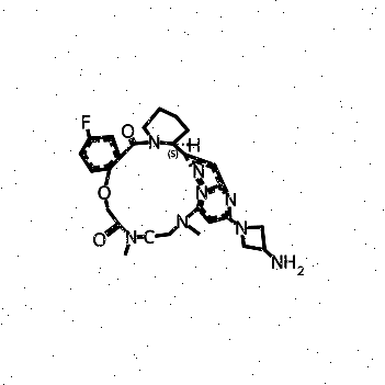 CN1CCN(C)c2cc(N3CC(N)C3)nc3cc(nn23)[C@@H]2CCCCN2C(=O)c2cc(F)ccc2OCC1=O